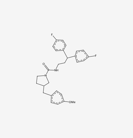 COc1ccc(CC2CCN(C(=O)NCCC(c3ccc(F)cc3)c3ccc(F)cc3)C2)cc1